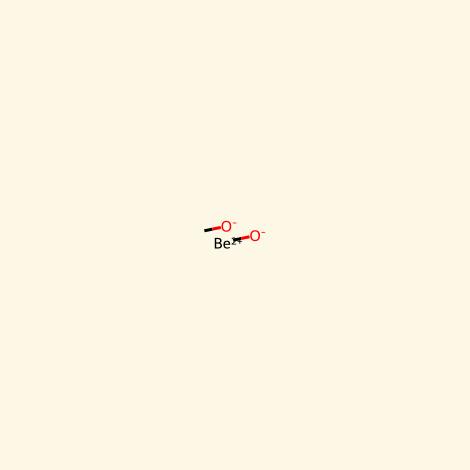 C[O-].C[O-].[Be+2]